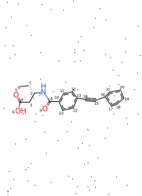 CC[C@@H](CC(=O)O)NC(=O)c1ccc(C#Cc2ccccc2)cc1